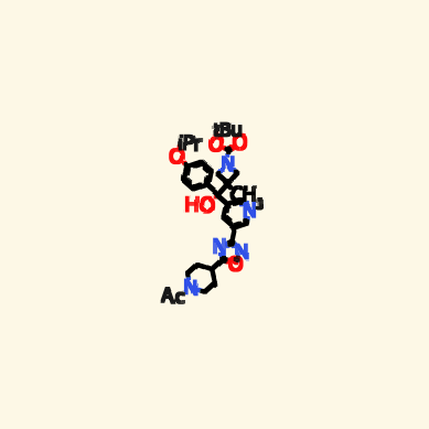 CC(=O)N1CCC(c2nc(-c3cncc(C(O)(c4ccc(OC(C)C)cc4)C4(C)CN(C(=O)OC(C)(C)C)C4)c3)no2)CC1